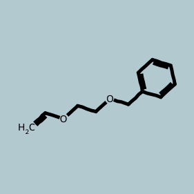 C=COCCOCc1ccccc1